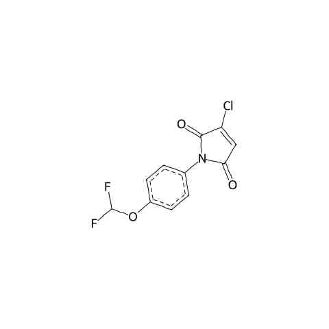 O=C1C=C(Cl)C(=O)N1c1ccc(OC(F)F)cc1